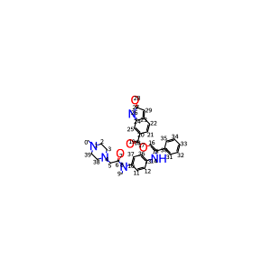 CN1CCN(CC(=O)N(C)c2ccc(NC(=COC(=O)c3ccc4c(c3)=NC(=O)C=4)c3ccccc3)cc2)CC1